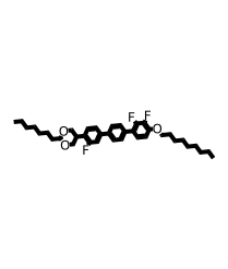 CCCCCCCCCOc1ccc(-c2ccc(-c3ccc(C4COC(CCCCCCC)OC4)c(F)c3)cc2)c(F)c1F